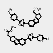 CC(C)(C)OC(=O)CC1Cc2cc3ccc(-c4noc(-c5cnc(Cl)cn5)n4)cc3n2C1.CC(C)Oc1cnc(-c2nc(-c3ccc4cc5n(c4c3)C(CC(=O)O)CC5)no2)cn1